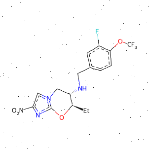 CC[C@H]1Oc2nc([N+](=O)[O-])cn2C[C@@H]1NCc1ccc(OC(F)(F)F)c(F)c1